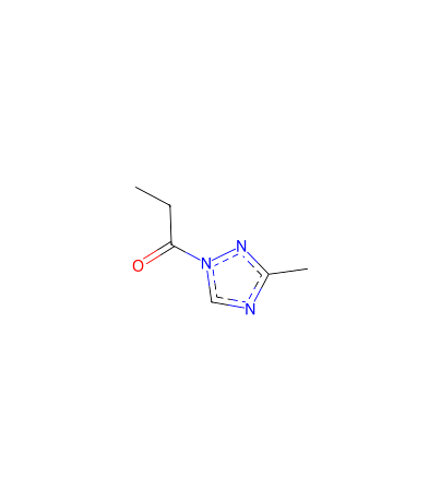 CCC(=O)n1cnc(C)n1